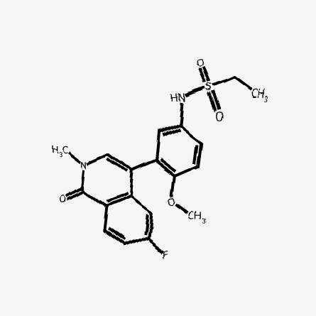 CCS(=O)(=O)Nc1ccc(OC)c(-c2cn(C)c(=O)c3ccc(F)cc23)c1